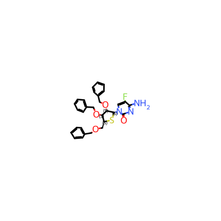 Nc1nc(=O)n([C@H]2S[C@@H](COCc3ccccc3)[C@@H](OCc3ccccc3)[C@@H]2OCc2ccccc2)cc1F